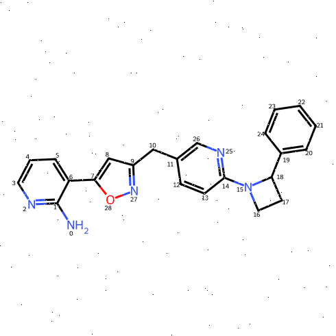 Nc1ncccc1-c1cc(Cc2ccc(N3CCC3c3ccccc3)nc2)no1